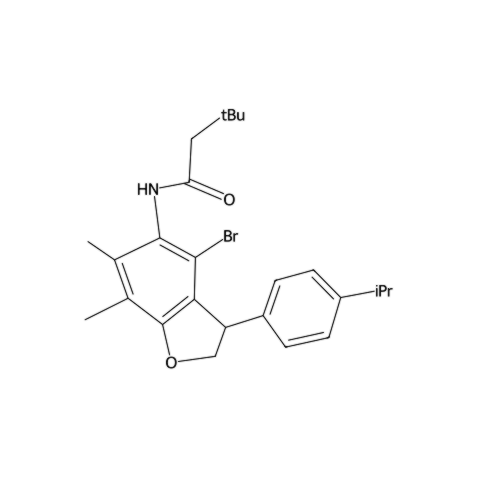 Cc1c(C)c2c(c(Br)c1NC(=O)CC(C)(C)C)C(c1ccc(C(C)C)cc1)CO2